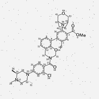 COC(=O)c1cc(F)c(-c2cccc3c2OCN(C(=O)c2ccc(N4C[C@H](C)N(C)C[C@H]4C)cc2Cl)C3)cc1N1C2CCC1COC2